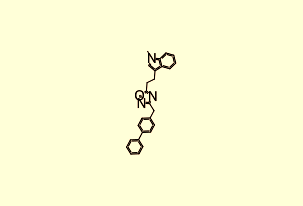 Cn1cc(CCc2nc(Cc3ccc(-c4ccccc4)cc3)no2)c2ccccc21